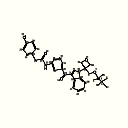 CC(C)(C)[Si](C)(C)OCC1(n2cc(C(=O)c3cncc(NC(=O)Cc4ccc(Cl)cn4)c3)c3cncnc32)COC1